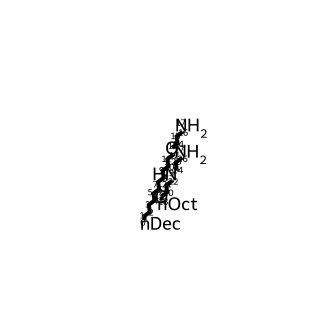 CCCCCCCCCCCCCCCCCCCCCCOCCCN.CCCCCCCCOCCCNCCCN